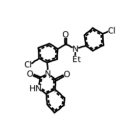 CCN(C(=O)c1ccc(Cl)c(-n2c(=O)[nH]c3ccccc3c2=O)c1)c1ccc(Cl)cc1